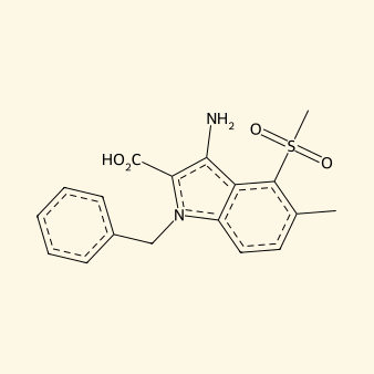 Cc1ccc2c(c(N)c(C(=O)O)n2Cc2ccccc2)c1S(C)(=O)=O